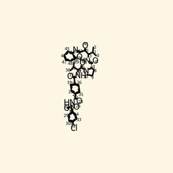 CC(C)C(NC(=O)[C@@H]1CCCN1C(=O)[C@@H](NC(=O)c1ccc(C(=O)NS(=O)(=O)c2ccc(Cl)cc2)cc1)C(C)C)C(=O)c1nc2ccccc2o1